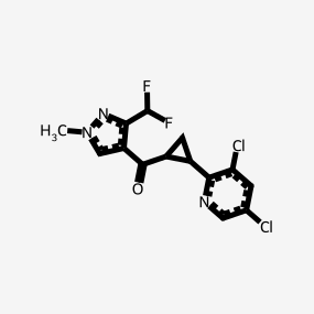 Cn1cc(C(=O)C2CC2c2ncc(Cl)cc2Cl)c(C(F)F)n1